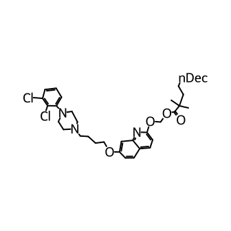 CCCCCCCCCCCCC(C)(C)C(=O)OCOc1ccc2ccc(OCCCCN3CCN(c4cccc(Cl)c4Cl)CC3)cc2n1